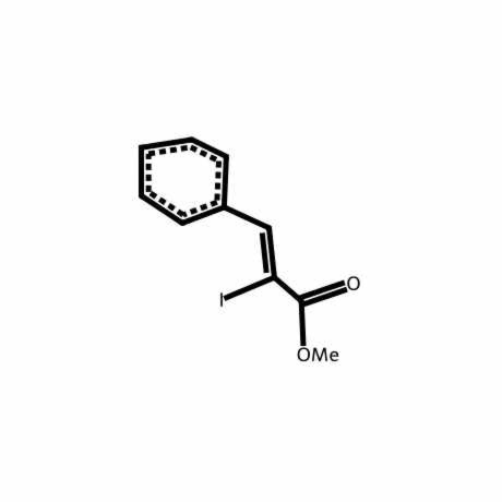 COC(=O)C(I)=Cc1ccccc1